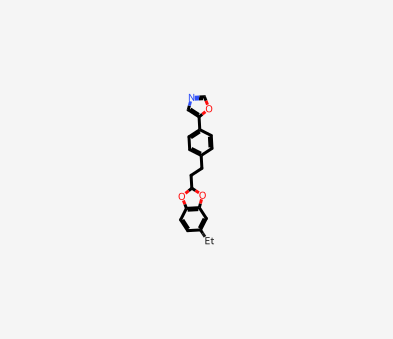 CCc1ccc2c(c1)OC(CCc1ccc(-c3cnco3)cc1)O2